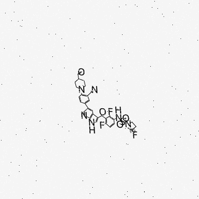 N#Cc1cc(-c2cnc3[nH]cc(C(=O)c4c(F)ccc(NS(=O)(=O)N5CC[C@@H](F)C5)c4F)c3c2)ccc1N1CCC(C=O)CC1